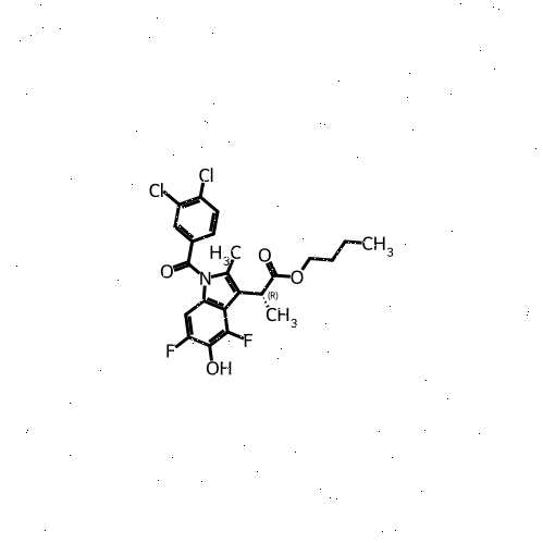 CCCCOC(=O)[C@H](C)c1c(C)n(C(=O)c2ccc(Cl)c(Cl)c2)c2cc(F)c(O)c(F)c12